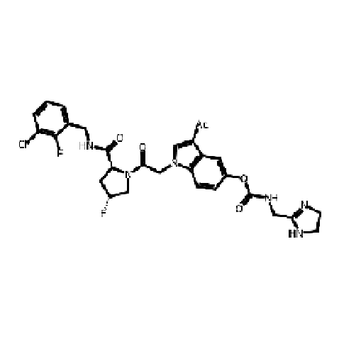 CC(=O)c1cn(CC(=O)N2C[C@H](F)C[C@H]2C(=O)NCc2cccc(Cl)c2F)c2ccc(OC(=O)NCC3=NCCN3)cc12